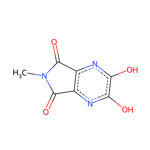 CN1C(=O)c2nc(O)c(O)nc2C1=O